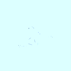 COc1cc(Br)c2c3c1OC(C3)C[C@@H](O)/C=C/CN(CCC#N)C2